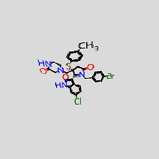 Cc1ccc(S[C@@]2(C(=O)N3CCNC(=O)C3)CC(=O)N(Cc3ccc(Br)cc3)[C@@H]2c2c[nH]c3cc(Cl)ccc23)cc1